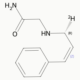 [2H][C@H](/C=C\c1ccccc1)NCC(N)=O